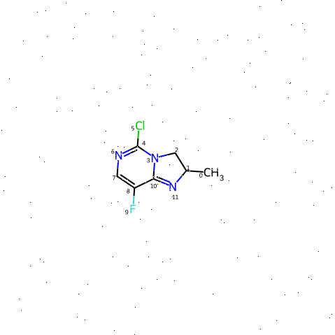 CC1CN2C(Cl)=NC=C(F)C2=N1